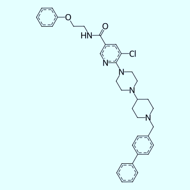 O=C(NCCOc1ccccc1)c1cnc(N2CCN(C3CCN(Cc4ccc(-c5ccccc5)cc4)CC3)CC2)c(Cl)c1